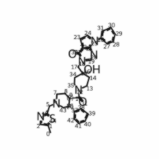 Cc1cnc(CN2CC[C@@H](C(=O)N3CCC(O)(Cn4cnc5c(ccn5-c5ccccc5)c4=O)CC3)[C@H](c3ccccc3)C2)s1